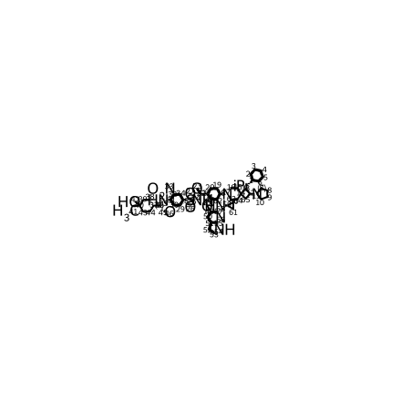 CC(C)c1ccccc1[C@@H]1CCCN1C1CC2(CCN(c3ccc(C(=O)NS(=O)(=O)c4cc5c(c([N+](=O)[O-])c4)N[C@@H]([C@H]4CC[C@](C)(O)CC4)CO5)c(Oc4cc5cc[nH]c5nc4NC4CC4)c3)CC2)C1